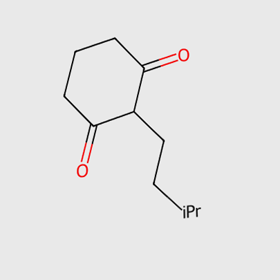 CC(C)CCC1C(=O)CCCC1=O